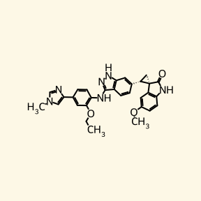 CCOc1cc(-c2cn(C)cn2)ccc1Nc1n[nH]c2cc([C@@H]3C[C@@]34C(=O)Nc3ccc(OC)cc34)ccc12